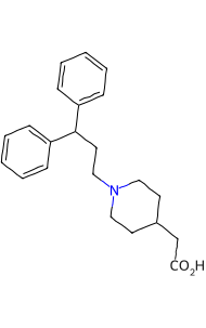 O=C(O)CC1CCN(CCC(c2ccccc2)c2ccccc2)CC1